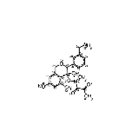 CC(=O)C(=O)N(C)OC1(O)c2c(O)cc(O)cc2COC1c1cccc(CN)c1